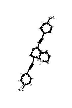 Cc1ccc(C#Cc2ccc(C#Cc3ccc(C)cc3)c3ncccc23)cc1